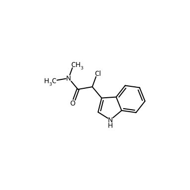 CN(C)C(=O)C(Cl)c1c[nH]c2ccccc12